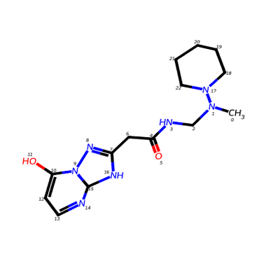 CN(CNC(=O)CC1=NN2C(O)=CC=NC2N1)N1CCCCC1